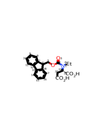 CCN(C(=O)OCC1c2ccccc2-c2ccccc21)[C@@H](CC(=O)O)C(=O)O